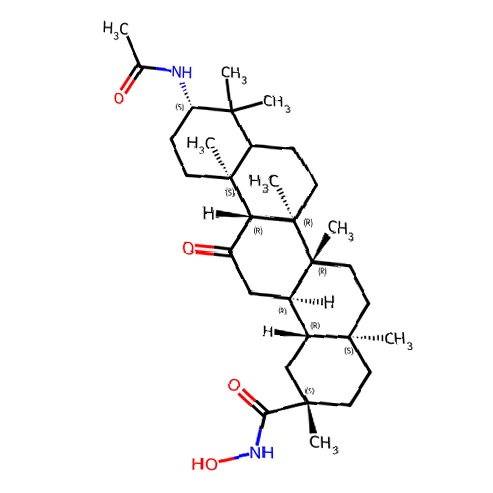 CC(=O)N[C@H]1CC[C@@]2(C)C(CC[C@]3(C)[C@@H]2C(=O)C[C@@H]2[C@H]4C[C@@](C)(C(=O)NO)CC[C@]4(C)CC[C@]23C)C1(C)C